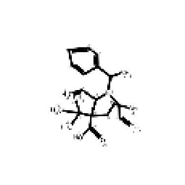 C=CCN(C(C)c1ccccc1)C(C=C)C(CCO)(C(=O)O)C(C)(C)C